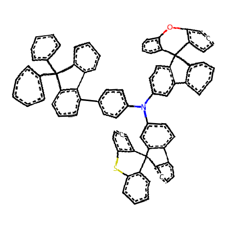 c1ccc(C2(c3ccccc3)c3ccccc3-c3c(-c4ccc(N(c5ccc6c(c5)-c5ccccc5C65c6ccccc6Oc6ccccc65)c5ccc6c(c5)C5(c7ccccc7Sc7ccccc75)c5ccccc5-6)cc4)cccc32)cc1